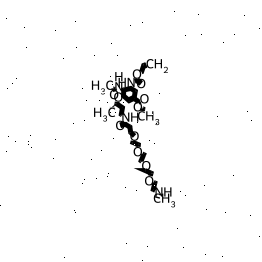 C=CCOC(=O)N[C@H]1CC(C(=O)OCC)=C[C@@H](O[C@@H](CC)CCNC(=O)CCOCCOCCOCCOCCNC)[C@@H]1NC(C)=O